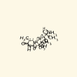 Cc1cn([C@H]2O[C@H](OC(=O)C(C)(C)N)[C@](C)(O)[C@@]2(C)F)c(=O)[nH]c1=O